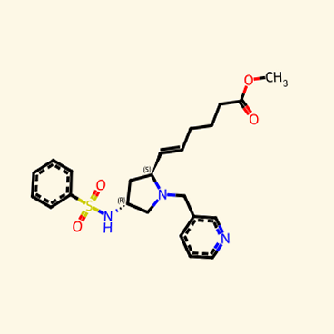 COC(=O)CCCC=C[C@@H]1C[C@@H](NS(=O)(=O)c2ccccc2)CN1Cc1cccnc1